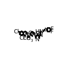 C[C@H]1c2c(Cl)cc(Cl)cc2CCN1C(=O)[C@H]1CN(c2cncc3nc(NCCN4CCC(F)(F)CC4)oc23)CCO1